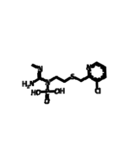 CN=C(N)N(CCSCc1ncccc1Cl)P(=O)(O)O